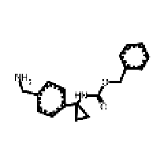 NCc1ccc(C2(NC(=O)OCc3ccccc3)CC2)cc1